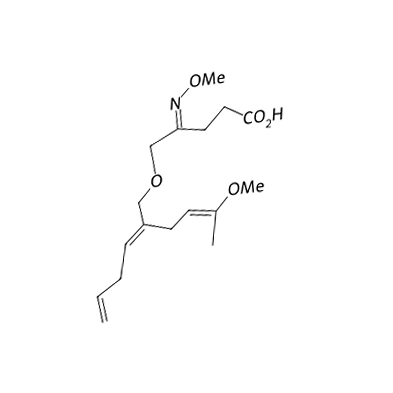 C=CC/C=C(\C/C=C(\C)OC)COC/C(CCC(=O)O)=N/OC